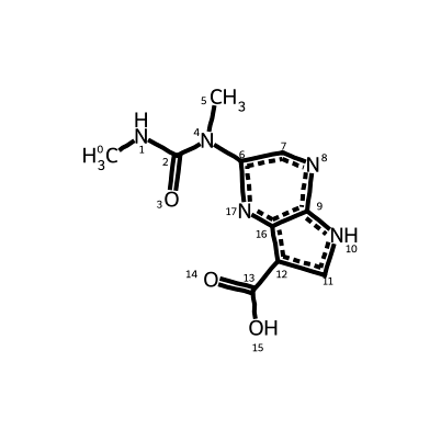 CNC(=O)N(C)c1cnc2[nH]cc(C(=O)O)c2n1